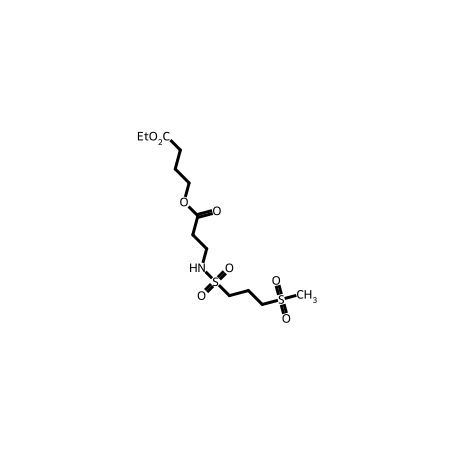 CCOC(=O)CCCOC(=O)CCNS(=O)(=O)CCCS(C)(=O)=O